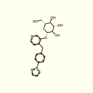 OC[C@H]1S[C@@H](Oc2cnccc2Cc2ccc(-n3cccn3)cc2)[C@H](O)[C@@H](O)[C@@H]1O